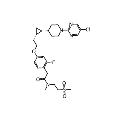 CN(CCS(C)(=O)=O)C(=O)Cc1ccc(OCC[C@@H]2C[C@@H]2C2CCN(c3ncc(Cl)cn3)CC2)cc1F